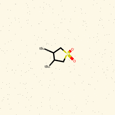 CC(C)(C)C1CS(=O)(=O)CC1C(C)(C)C